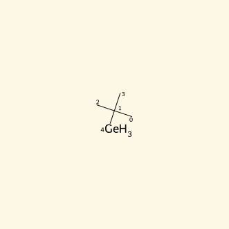 C[C](C)(C)[GeH3]